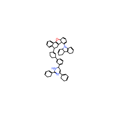 C1=CCCC(C2=CC(c3cccc(C4C=C(C5CC6=C(OC7C=CC=C(N8C9=C(CCC=C9)C9CCC=CC98)C67)c6ccccc65)CCC4)c3)NC(C3=CC=CCC3)=N2)=C1